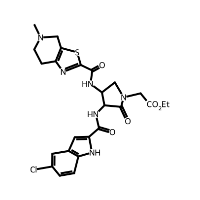 CCOC(=O)CN1CC(NC(=O)c2nc3c(s2)CN(C)CC3)C(NC(=O)c2cc3cc(Cl)ccc3[nH]2)C1=O